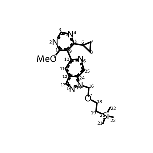 COc1ncnc(C2CC2)c1-c1cc2cnn(COCC[Si](C)(C)C)c2cn1